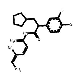 C=C(/C=C\C(C#N)=C/N)NC(=O)C(CC1CCCC1)c1ccc(Cl)c(Cl)c1